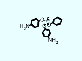 Nc1ccc(OP(=S)(Oc2ccccc2)Oc2ccc(N)cc2)cc1